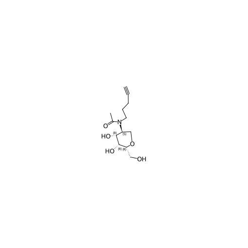 C#CCCCN(C(C)=O)[C@H]1CO[C@H](CO)[C@H](O)[C@@H]1O